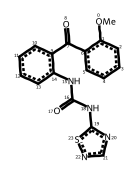 COc1ccccc1C(=O)c1ccccc1NC(=O)Nc1ncns1